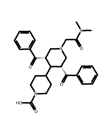 CN(C)C(=O)CN1C[C@H](C(=O)c2ccccc2)C(C2CCN(C(=O)O)CC2)[C@H](C(=O)c2ccccc2)C1